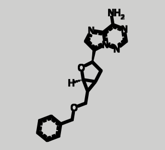 Nc1ncnn2c([C@H]3CC4C(COCc5ccccc5)[C@H]4O3)cnc12